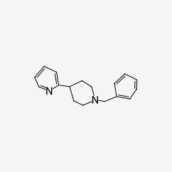 c1ccc(CN2CCC(c3ccccn3)CC2)cc1